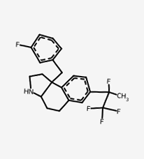 CC(F)(c1ccc2c(c1)CCC1NCCC21Cc1cccc(F)c1)C(F)(F)F